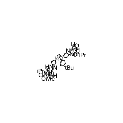 COC(=O)N[C@H](C(=O)N1C(c2nc3cc([C@H]4CC[C@H](c5ccc6[nH]c([C@@H]7C[C@@H]8CCC[C@@H]8N7C(=O)[CH]C(C)C)nc6c5)N4c4ccc(C(C)(C)C)cc4)ccc3[nH]2)C[C@@H]2CCC[C@@H]21)C(C)C